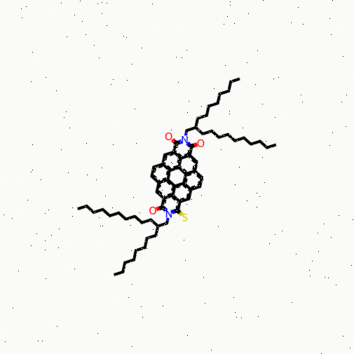 CCCCCCCCCCC(CCCCCCCC)Cn1c(=O)c2cc3ccc4cc5c(=O)n(CC(CCCCCCCC)CCCCCCCCCC)c(=S)c6cc7ccc8cc(c1=O)c2c1c3c4c(c56)c7c81